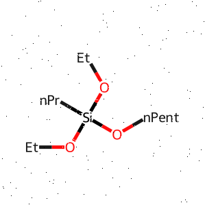 CCCCCO[Si](CCC)(OCC)OCC